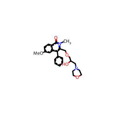 COc1ccc2c(=O)n(C)c(COCC(O)CN3CCOCC3)c(-c3ccccc3)c2c1